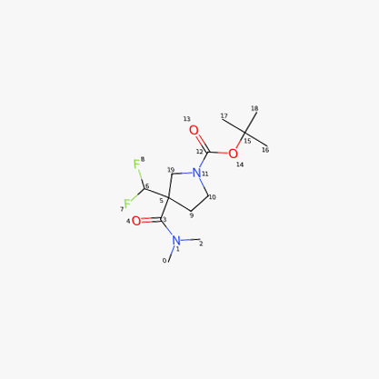 CN(C)C(=O)C1(C(F)F)CCN(C(=O)OC(C)(C)C)C1